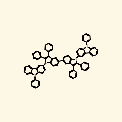 c1ccc(-c2c(-c3ccccc3)n(-c3ccc4c(c3)c3ccccc3n4-c3ccccc3)c3ccc(-c4ccc5c(c4)c(-c4ccccc4)c(-c4ccccc4)n5-c4ccc5c(c4)c4ccccc4n5-c4ccccc4)cc23)cc1